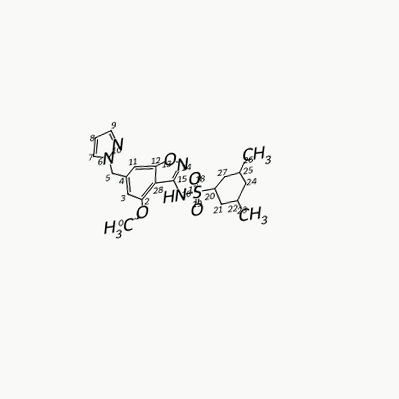 COc1cc(Cn2cccn2)cc2onc(NS(=O)(=O)C3CC(C)CC(C)C3)c12